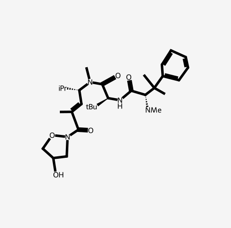 CN[C@H](C(=O)N[C@H](C(=O)N(C)[C@H](/C=C(\C)C(=O)N1CC(O)CO1)C(C)C)C(C)(C)C)C(C)(C)c1ccccc1